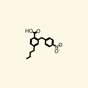 C[CH]CCc1ccc(C(=O)O)c(Cc2ccc([N+](=O)[O-])cc2)c1